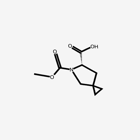 COC(=O)N1CC2(CC2)C[C@H]1C(=O)O